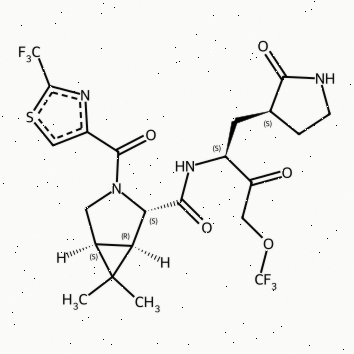 CC1(C)[C@@H]2[C@@H](C(=O)N[C@@H](C[C@@H]3CCNC3=O)C(=O)COC(F)(F)F)N(C(=O)c3csc(C(F)(F)F)n3)C[C@@H]21